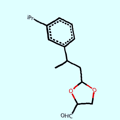 CC(C)c1cccc(C(C)CC2OCC(C=O)O2)c1